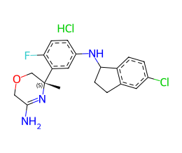 C[C@]1(c2cc(NC3CCc4cc(Cl)ccc43)ccc2F)COCC(N)=N1.Cl